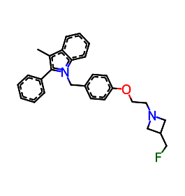 Cc1c(-c2ccccc2)n(Cc2ccc(OCCN3CC(CF)C3)cc2)c2ccccc12